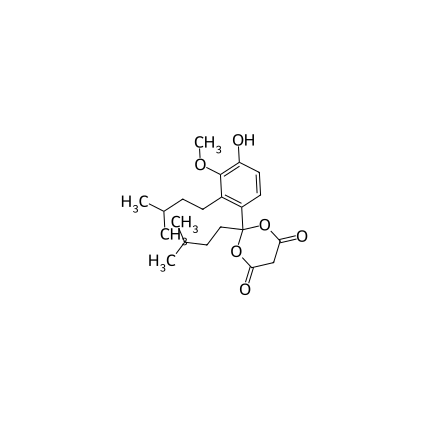 COc1c(O)ccc(C2(CCC(C)C)OC(=O)CC(=O)O2)c1CCC(C)C